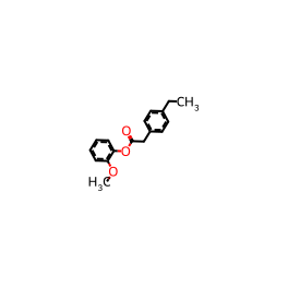 CCc1ccc(CC(=O)Oc2ccccc2OC)cc1